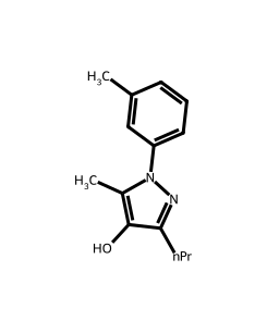 CCCc1nn(-c2cccc(C)c2)c(C)c1O